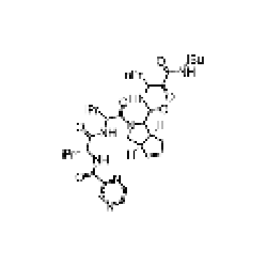 CCCC(NC(=O)C1[C@H]2CC=C[C@H]2CN1C(=O)C(NC(=O)[C@H](NC(=O)c1cnccn1)C(C)C)C(C)C)C(=O)C(=O)N[C@@H](C)CC